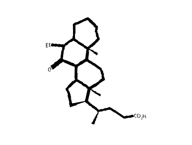 CCC1C(=O)C2C(CC[C@@]3(C)C2CC[C@@H]3[C@H](C)CCC(=O)O)[C@@]2(C)CCCCC12